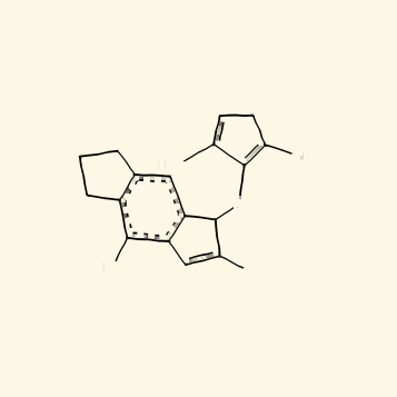 CCCCC1=[C]([Zr][CH]2C(C)=Cc3c2cc2c(c3Br)CCC2)C(C)=CC1